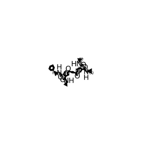 C[C@H]1C[C@@H]1NC(=O)C1CN(C(=O)C#CC(=O)N2CC(C(=O)NC3CC3)[C@H](C(=O)N[C@H]3C[C@@H]3c3ccccc3)C2)C[C@H]1C(=O)N[C@H]1C[C@@H]1C